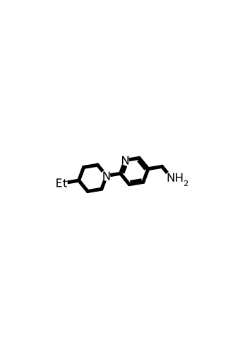 CCC1CCN(c2ccc(CN)cn2)CC1